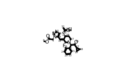 COC(=O)Cn1nncc1/C=C1/CN(C(C(=O)C2CC2)c2ccccc2F)CCC1SC(C)=O.Cl